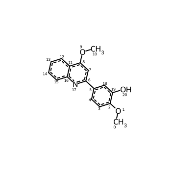 COc1ccc(-c2cc(OC)c3ccccc3n2)cc1O